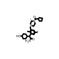 Cc1c(CN2CCN(C(=O)C3CCCC3)[C@@H](C)C2)cc(F)cc1C(C(N)=O)C1CCC(O)CC1